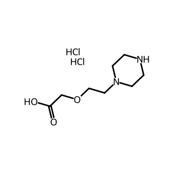 Cl.Cl.O=C(O)COCCN1CCNCC1